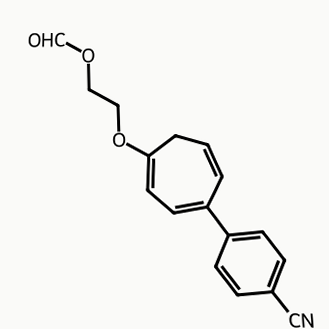 N#Cc1ccc(C2=CC=C(OCCOC=O)CC=C2)cc1